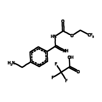 N=C(NC(=O)OCC(F)(F)F)c1ccc(CN)cc1.O=C(O)C(F)(F)F